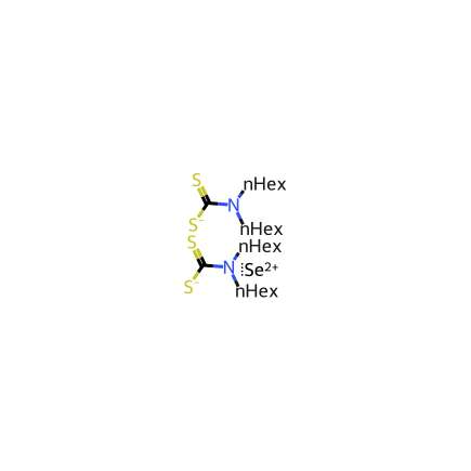 CCCCCCN(CCCCCC)C(=S)[S-].CCCCCCN(CCCCCC)C(=S)[S-].[Se+2]